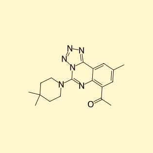 CC(=O)c1cc(C)cc2c1nc(N1CCC(C)(C)CC1)n1nnnc21